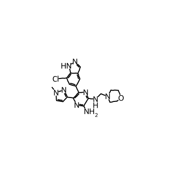 Cn1ccc(-c2nc(N)c(NCN3CCOCC3)nc2-c2cc(Cl)c3[nH]ncc3c2)n1